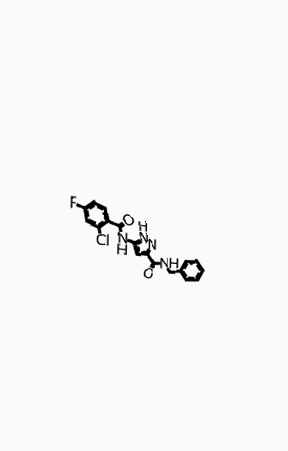 O=C(NCc1ccccc1)c1cc(NC(=O)c2ccc(F)cc2Cl)[nH]n1